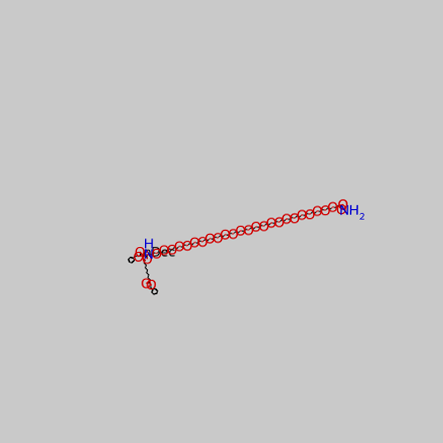 CCCCCCCCCCCC(CCCCCCCCCCC(=O)OCc1ccccc1)(C(=O)NCCOCCOCCOCCOCCOCCOCCOCCOCCOCCOCCOCCOCCOCCOCCOCCOCCOCCOCCOCCOCCOCCOCCOCCOCCC(=O)ON)C(=O)OCc1ccccc1